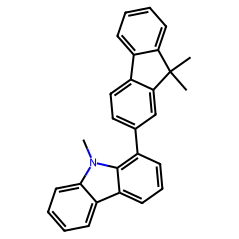 Cn1c2ccccc2c2cccc(-c3ccc4c(c3)C(C)(C)c3ccccc3-4)c21